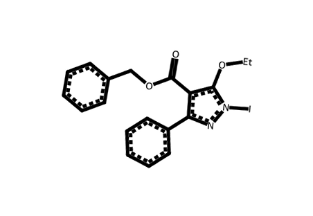 CCOc1c(C(=O)OCc2ccccc2)c(-c2ccccc2)nn1I